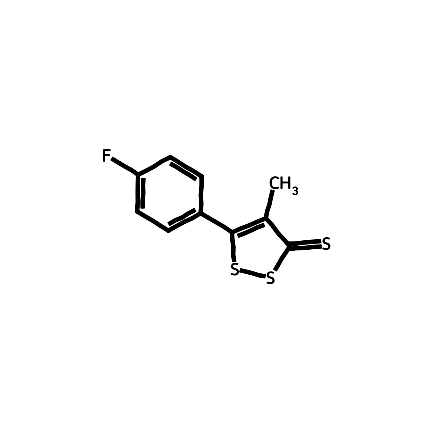 Cc1c(-c2ccc(F)cc2)ssc1=S